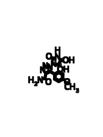 COc1ccc(-c2c(C(N)=O)nnn2N2C(=O)N[C@@H](O)[C@H]2O)cc1